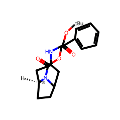 CC(C)(C)OC(=O)NC1CC2CC[C@@H](C1)N2C(=O)OCc1ccccc1